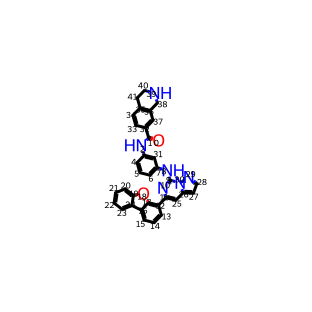 O=C(Nc1cccc(Nc2nc(-c3cccc4c3oc3ccccc34)cc3ccnn23)c1)c1ccc2c(c1)CNCC2